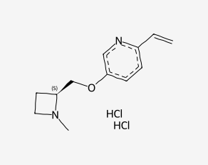 C=Cc1ccc(OC[C@@H]2CCN2C)cn1.Cl.Cl